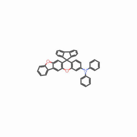 c1ccc(N(c2ccccc2)c2ccc3c(c2)Oc2cc4c(cc2C32c3ccccc3-c3ccccc32)oc2ccccc24)cc1